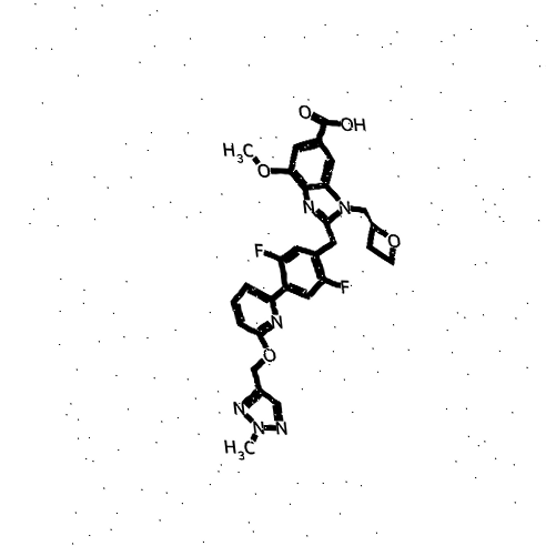 COc1cc(C(=O)O)cc2c1nc(Cc1cc(F)c(-c3cccc(OCc4cnn(C)n4)n3)cc1F)n2C[C@@H]1CCO1